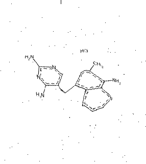 Cc1cc(Cc2cnc(N)nc2N)c2cccnc2c1N.Cl